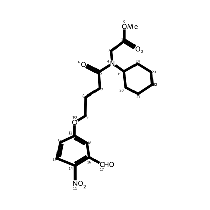 COC(=O)CN(C(=O)CCCOc1ccc([N+](=O)[O-])c(C=O)c1)C1CCCCC1